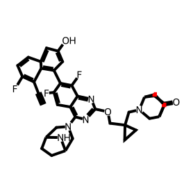 C#Cc1c(F)ccc2cc(O)cc(-c3c(F)cc4c(N5CC6CCC(C5)N6)nc(OCC5(CN6CC7CCC6CC7=O)CC5)nc4c3F)c12